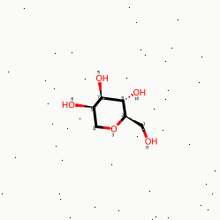 OC[C@H]1O[CH][C@@H](O)[C@@H](O)[C@@H]1O